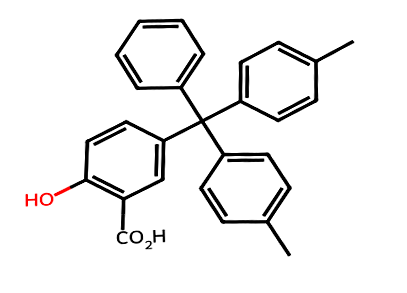 Cc1ccc(C(c2ccccc2)(c2ccc(C)cc2)c2ccc(O)c(C(=O)O)c2)cc1